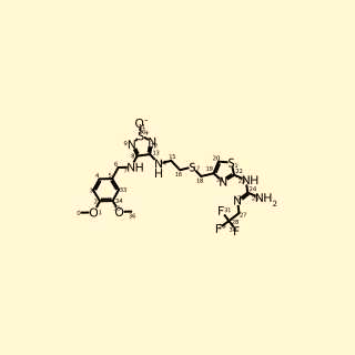 COc1ccc(CNc2n[s+]([O-])nc2NCCSCc2csc(NC(N)=NCC(F)(F)F)n2)cc1OC